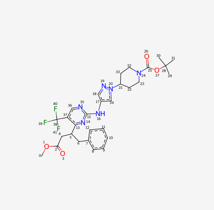 COC(=O)CC(Cc1ccccc1)c1nc(Nc2cnn(C3CCN(C(=O)OC(C)(C)C)CC3)c2)ncc1C(F)(F)F